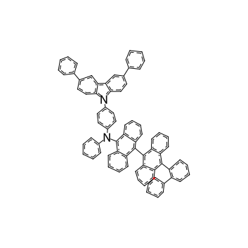 c1ccc(-c2ccc3c(c2)c2cc(-c4ccccc4)ccc2n3-c2ccc(N(c3ccccc3)c3c4ccccc4c(-c4c5ccccc5c(-c5ccccc5-c5ccccc5)c5ccccc45)c4ccccc34)cc2)cc1